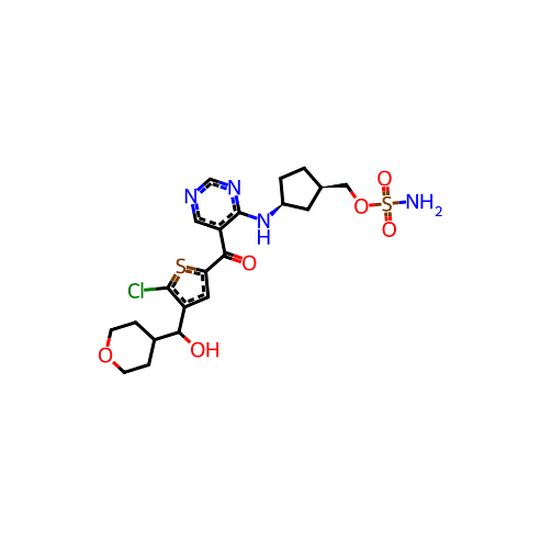 NS(=O)(=O)OC[C@@H]1CC[C@H](Nc2ncncc2C(=O)c2cc(C(O)C3CCOCC3)c(Cl)s2)C1